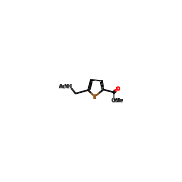 COC(=O)c1ccc(CNC(C)=O)s1